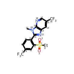 CCS(=O)(=O)c1cc(C(F)(F)F)ccc1-c1nc2cc(C(F)(F)F)cnc2n1C